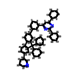 c1ccc(-c2cc(-c3cccc(-c4ccc5c(c4)C(c4ccccc4)(c4ccccc4)c4cc(-c6cccnc6)ccc4-5)c3)nc(-c3ccccc3)n2)cc1